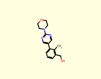 Cc1c(CO)cccc1-c1cnc(N2CCOCC2)nc1